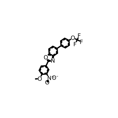 COc1ccc(-c2nc3cc(-c4ccc(OC(F)(F)F)cc4)ccc3o2)cc1[N+](=O)[O-]